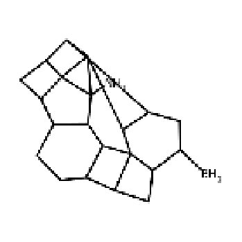 BC1CC2C3C4CC5C6CCC7C8CC1C81C7C6C6(N)C54C36C21